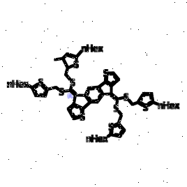 CCCCCCC1=CC(C)C(CS/C(SCc2ccc(CCCCCC)s2)=C2\c3cc4c(cc3-c3sccc32)C(=C(SCc2ccc(CCCCCC)s2)SCc2ccc(CCCCCC)s2)c2ccsc2-4)S1